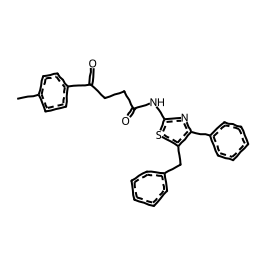 Cc1ccc(C(=O)CCC(=O)Nc2nc(-c3ccccc3)c(Cc3ccccc3)s2)cc1